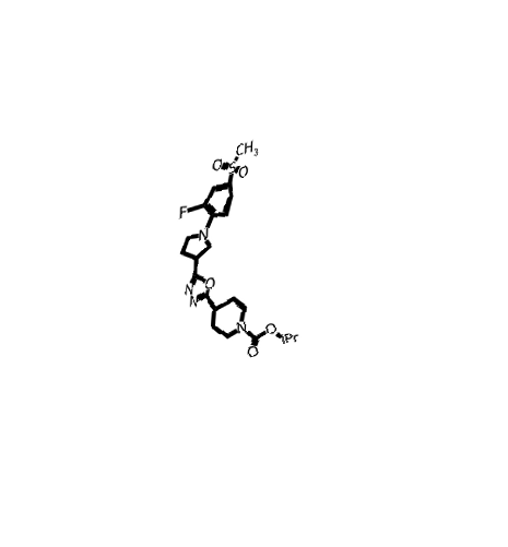 CC(C)OC(=O)N1CCC(c2nnc(C3CCN(c4ccc(S(C)(=O)=O)cc4F)C3)o2)CC1